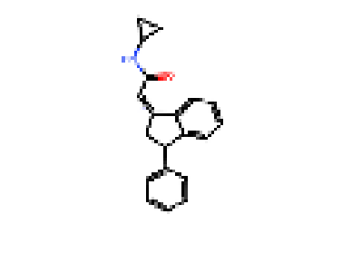 O=C(/C=C1/CC(c2ccccc2)c2ccccc21)NC1CC1